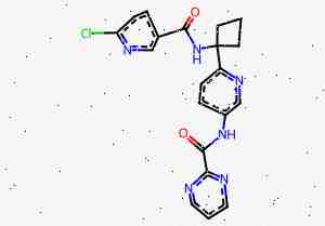 O=C(NC1(c2ccc(NC(=O)c3ncccn3)cn2)CCC1)c1ccc(Cl)nc1